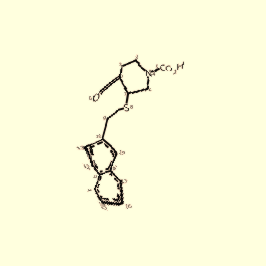 O=C1CCN(C(=O)O)CC1SCc1ccc2ccccc2c1